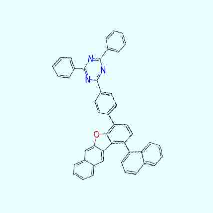 c1ccc(-c2nc(-c3ccccc3)nc(-c3ccc(-c4ccc(-c5cccc6ccccc56)c5c4oc4cc6ccccc6cc45)cc3)n2)cc1